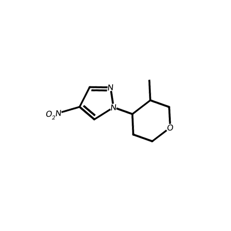 CC1COCCC1n1cc([N+](=O)[O-])cn1